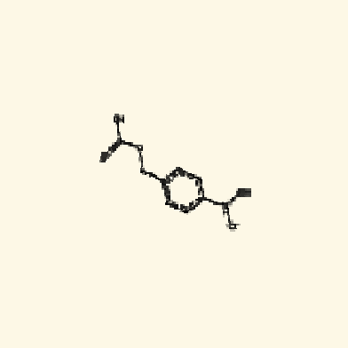 O=C(O)OCc1ccc([NH+]([O-])O)cc1